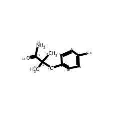 CC(C)(Oc1ccc(F)cc1)C(N)=O